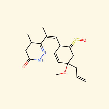 C=CCC1(OC)C=CC(C=C(C)C2=NNC(=O)CC2C)C(=S=O)C1